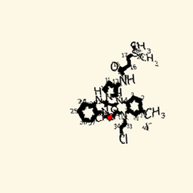 Cc1ccc(NC(=O)C2(n3ccc(NC(=O)CC[S+](C)C)c3)Nc3ccccc3N2C)c(N(CCCl)CCCl)c1.[I-]